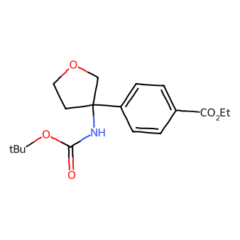 CCOC(=O)c1ccc(C2(NC(=O)OC(C)(C)C)CCOC2)cc1